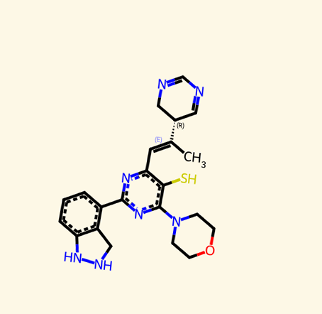 C/C(=C\c1nc(-c2cccc3c2CNN3)nc(N2CCOCC2)c1S)[C@H]1C=NC=NC1